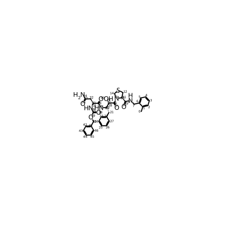 Cc1ccccc1CNC(=O)[C@@H]1CSCN1C(=O)[C@@H](O)[C@H](Cc1ccccc1)NC(=O)[C@H](CC(N)=O)NC(=O)OCc1ccccc1